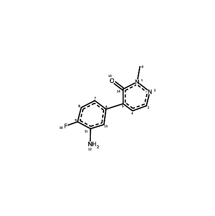 Cn1nccc(-c2ccc(F)c(N)c2)c1=O